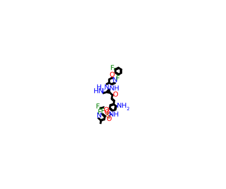 Cc1cnc(F)c(S(=O)(=O)Nc2cc(N)c(/C=C/C(=O)C3C(C=N)C3(N)NC3=CN=C(Oc4c(F)cccc4F)CC3C)cc2OCC(F)F)c1